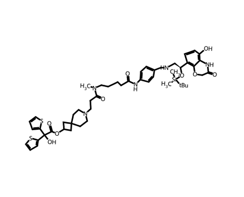 CN(CCCCC(=O)Nc1ccc(CNC[C@H](O[Si](C)(C)C(C)(C)C)c2ccc(O)c3c2OCC(=O)N3)cc1)C(=O)CCN1CCC2(CC1)CC(OC(=O)C(O)(c1cccs1)c1cccs1)C2